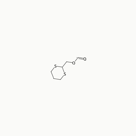 O=[C]OCC1SCCCS1